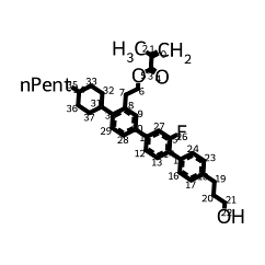 C=C(C)C(=O)OCCc1cc(-c2ccc(-c3ccc(CCCO)cc3)c(F)c2)ccc1C1CCC(CCCCC)CC1